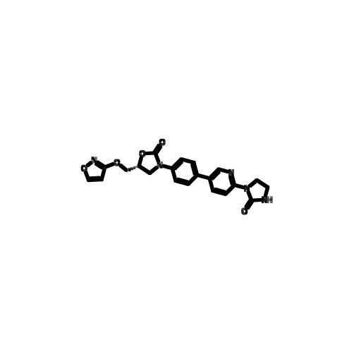 O=C1O[C@@H](COc2ccon2)CN1c1ccc(-c2ccc(N3CCNC3=O)nc2)cc1